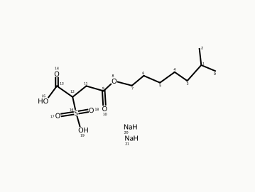 CC(C)CCCCCOC(=O)CC(C(=O)O)S(=O)(=O)O.[NaH].[NaH]